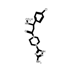 Nc1n[nH]c(N2CCN(C(=O)CC(NC(=O)O)c3ccc(Cl)cc3)CC2)n1